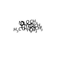 CC(=O)c1cnccc1NC(=O)c1nc(C)c(C(C)(C)C)nc1C